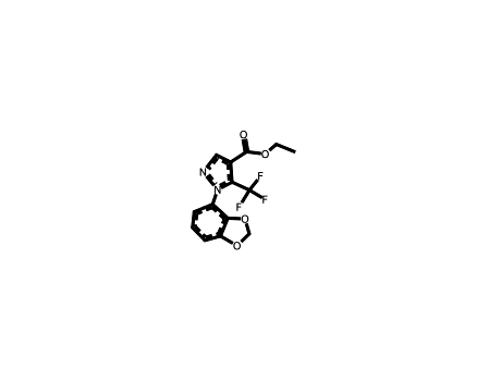 CCOC(=O)c1cnn(-c2cccc3c2OCO3)c1C(F)(F)F